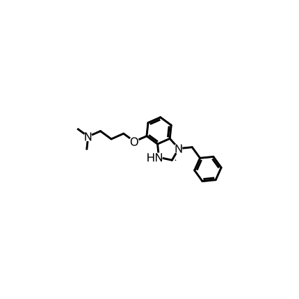 CN(C)CCCOc1cccc2c1N[CH]N2Cc1ccccc1